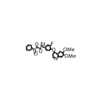 CCN(C(=O)C(=O)N(Cl)c1ccccc1)c1ccc(Oc2ccnc3cc(OC)c(OC)cc23)c(F)c1